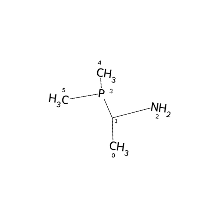 CC(N)P(C)C